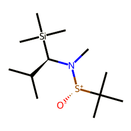 CC(C)[C@H](N(C)[S@@+]([O-])C(C)(C)C)[Si](C)(C)C